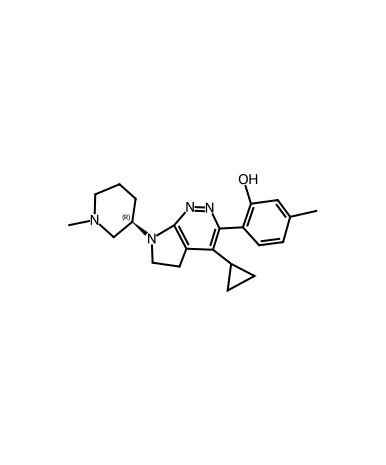 Cc1ccc(-c2nnc3c(c2C2CC2)CCN3[C@@H]2CCCN(C)C2)c(O)c1